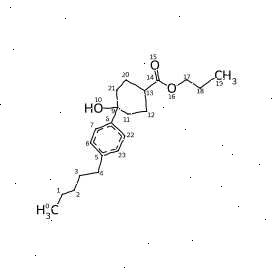 CCCCCc1ccc(C2(O)CCC(C(=O)OCCC)CC2)cc1